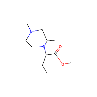 CCC(C(=O)OC)N1CCN(C)CC1C